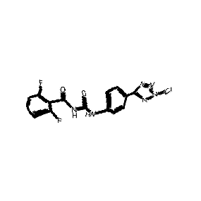 O=C(NC(=O)c1c(F)cccc1F)Nc1ccc(-c2nnn(Cl)n2)cc1